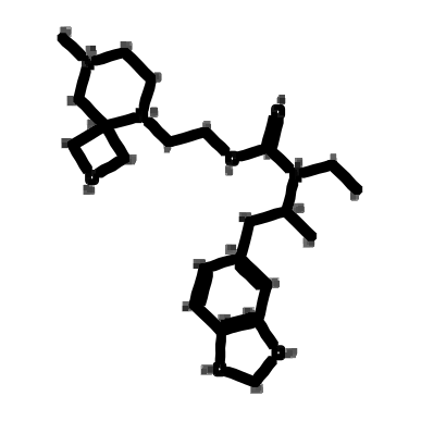 CCN(C(=O)OCCN1CCN(C)CC12COC2)C(C)Cc1ccc2c(c1)OCO2